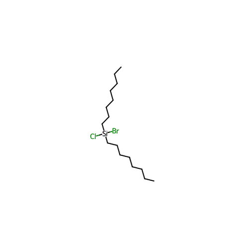 CCCCCCCC[Si](Cl)(Br)CCCCCCCC